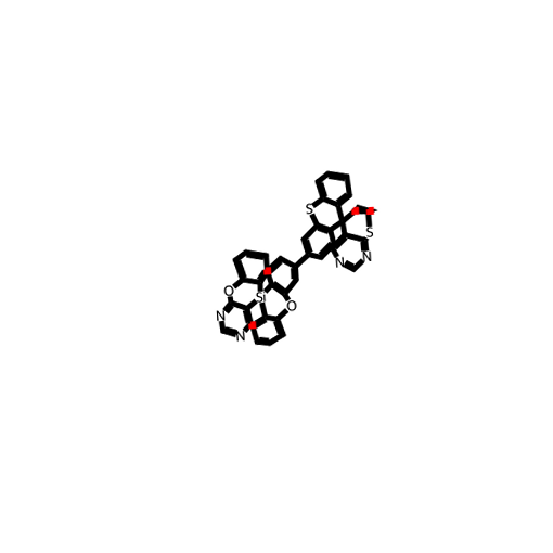 c1ccc2c(c1)Oc1cc(-c3ccc4c(c3)Sc3ccccc3C43c4ccccc4Sc4ncncc43)ccc1[Si]21c2ccccc2Oc2ncncc21